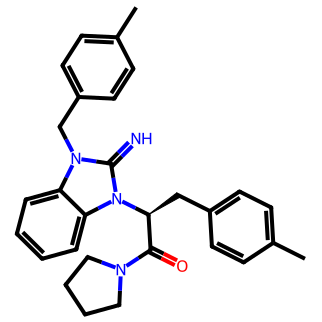 Cc1ccc(C[C@@H](C(=O)N2CCCC2)n2c(=N)n(Cc3ccc(C)cc3)c3ccccc32)cc1